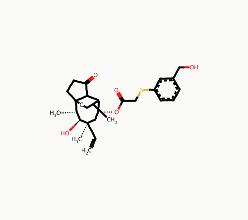 C=C[C@]1(C)C[C@@H](OC(=O)CSc2cccc(CO)c2)C2C(C)CCC3(CCC(=O)C23)[C@@H](C)[C@@H]1O